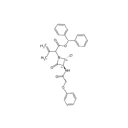 C=C(C)C(C(=O)OC(c1ccccc1)c1ccccc1)N1C(=O)[C@H](NC(=O)COc2ccccc2)[C@H]1Cl